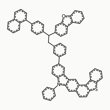 c1ccc(-n2c3ccc(-c4cccc(CC(c5ccc(-c6cccc7ccccc67)cc5)c5ccc6c(c5)oc5ccccc56)c4)cc3c3cc4c(ccc5sc6ccccc6c54)cc32)cc1